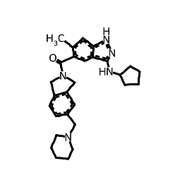 Cc1cc2[nH]nc(NC3CCCC3)c2cc1C(=O)N1Cc2ccc(CN3CCCCC3)cc2C1